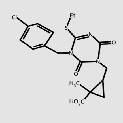 CCSc1nc(=O)n(CC2CC2(C)C(=O)O)c(=O)n1Cc1ccc(Cl)cc1